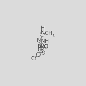 CC1CC(c2ncc3nc(CS(=O)(=O)c4ccc(Cl)cc4)cc-3[nH]2)CCN1.Cl.O